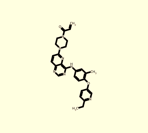 C=CC(=O)N1CCN(c2ccc3ncnc(Nc4ccc(Oc5ccc(CC)nc5)c(C)c4)c3n2)CC1